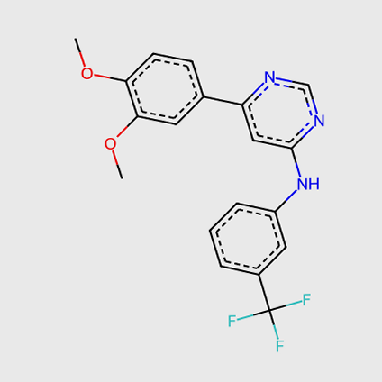 COc1ccc(-c2cc(Nc3cccc(C(F)(F)F)c3)ncn2)cc1OC